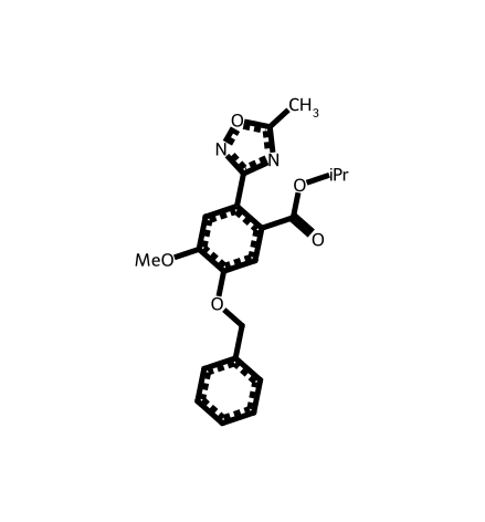 COc1cc(-c2noc(C)n2)c(C(=O)OC(C)C)cc1OCc1ccccc1